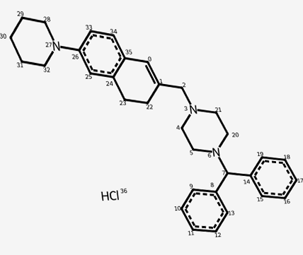 C1=C(CN2CCN(C(c3ccccc3)c3ccccc3)CC2)CCc2cc(N3CCCCC3)ccc21.Cl